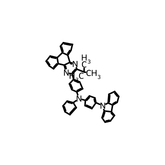 CC(C)(C)c1nc2c3ccccc3c3ccccc3c2nc1-c1ccc(N(c2ccccc2)c2ccc(-n3c4ccccc4c4ccccc43)cc2)cc1